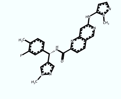 Cc1ccc([C@H](NC(=O)c2ccc3cnc(Nc4ccnn4C)cc3n2)c2cnn(C)c2)cc1F